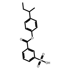 CCC(C)c1ccc(OC(=O)c2cccc(S(=O)(=O)O)c2)cc1